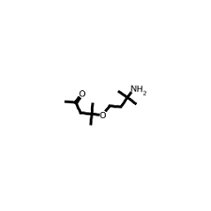 CC(=O)CC(C)(C)OCCC(C)(C)N